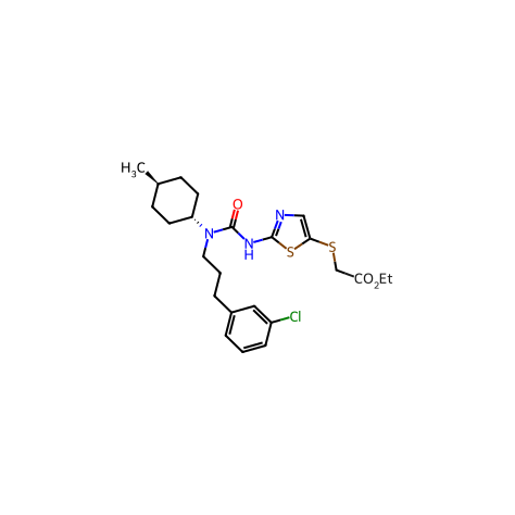 CCOC(=O)CSc1cnc(NC(=O)N(CCCc2cccc(Cl)c2)[C@H]2CC[C@H](C)CC2)s1